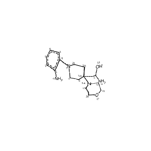 Nc1ccccc1N1CCC(C(N)O)(N2CCOCC2)CC1